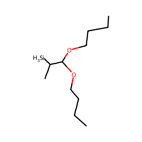 CCCCOC(OCCCC)C(C)[SiH3]